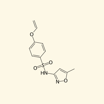 C=COc1ccc(S(=O)(=O)Nc2cc(C)on2)cc1